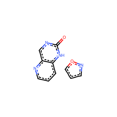 O=c1ncc2ncccc2[nH]1.c1cnoc1